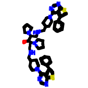 O=C(C(CNCC1CCN(c2ncnc3scc(-c4ccccc4)c23)CC1)N1CCCC1)C(CNCC1CCN(c2ncnc3scc(-c4ccccc4)c23)CC1)N1CCCC1